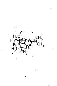 CN(C)c1ccc([PH]([Pd+])(C(C)(C)C)C(C)(C)C)cc1.[Cl-]